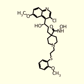 COc1ccc2ncc(Cl)c([C@H](O)CCC3(C(=O)NO)CCN(CCSc4ccccc4OC)CC3)c2c1